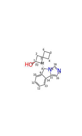 O[C@H]1CC2(CCC2)[C@@H]1C1c2ccccc2-c2cncn21